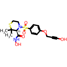 CC1(C)SCCN(S(=O)(=O)c2ccc(OCC#CO)cc2)[C@H]1C(=O)NO